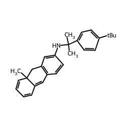 CC12C=CC=CC1=Cc1ccc(NC(C)(C)c3ccc(C(C)(C)C)cc3)cc1C2